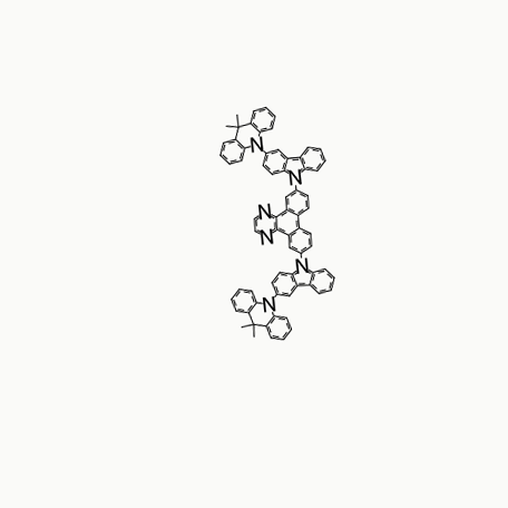 CC1(C)c2ccccc2N(c2ccc3c(c2)c2ccccc2n3-c2ccc3c4ccc(-n5c6ccccc6c6cc(N7c8ccccc8C(C)(C)c8ccccc87)ccc65)cc4c4nccnc4c3c2)c2ccccc21